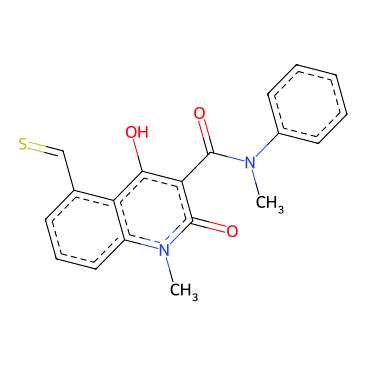 CN(C(=O)c1c(O)c2c(C=S)cccc2n(C)c1=O)c1ccccc1